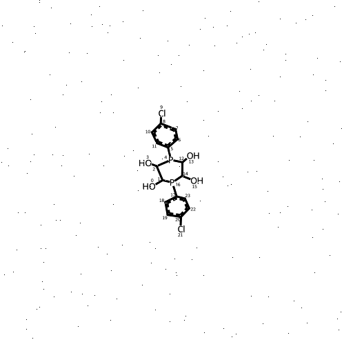 OC1C(O)P(c2ccc(Cl)cc2)C(O)C(O)P1c1ccc(Cl)cc1